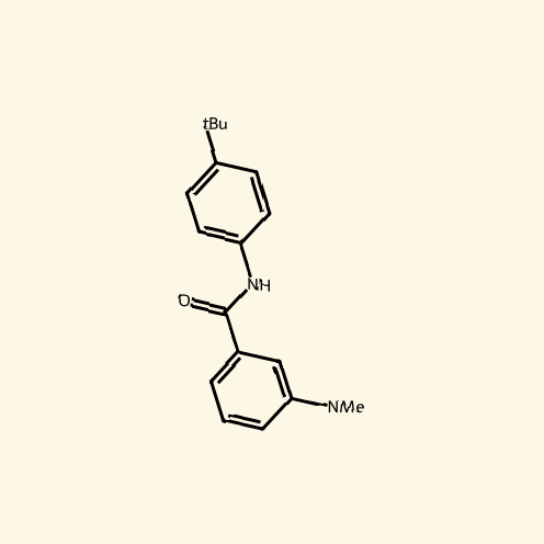 CNc1cccc(C(=O)Nc2ccc(C(C)(C)C)cc2)c1